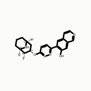 Oc1cc2cnccc2cc1-c1ccc(O[C@H]2C[C@@H]3CCC[C@@H](N3)[C@H]2F)nn1